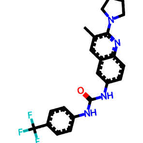 Cc1cc2cc(NC(=O)Nc3ccc(C(F)(F)F)cc3)ccc2nc1N1CCCC1